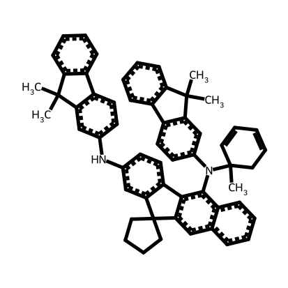 CC1(C)c2ccccc2-c2ccc(Nc3ccc4c(c3)C3(CCCC3)c3cc5ccccc5c(N(c5ccc6c(c5)C(C)(C)c5ccccc5-6)C5(C)C=CC=CC5)c3-4)cc21